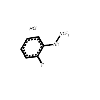 Cl.Fc1ccccc1NNC(F)(F)F